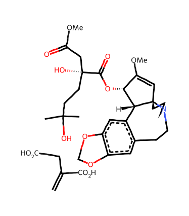 C=C(CC(=O)O)C(=O)O.COC(=O)C[C@](O)(CCC(C)(C)O)C(=O)O[C@@H]1C(OC)=C[C@]23CCCN2CCc2cc4c(cc2[C@H]13)OCO4